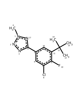 Cn1nnc(-c2cc(Cl)c(F)c(C(C)(C)C)c2)n1